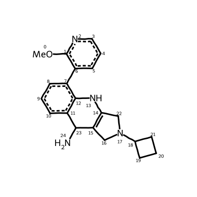 COc1ncccc1-c1cccc2c1NC1=C(CN(C3CCC3)C1)C2N